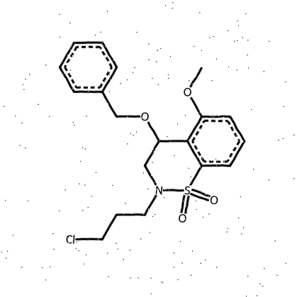 COc1cccc2c1C(OCc1ccccc1)CN(CCCCl)S2(=O)=O